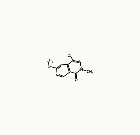 COc1cc2c(Cl)nn(C)c(=O)c2cn1